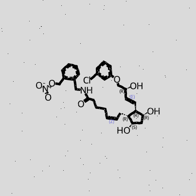 O=C(CCC/C=C\C[C@@H]1[C@@H](/C=C/[C@@H](O)COc2cccc(Cl)c2)[C@H](O)C[C@@H]1O)NCc1ccccc1CO[N+](=O)[O-]